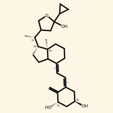 C=C1/C(=C\C=C2/CCC[C@@]3(C)C2CC[C@@H]3[C@H](C)C2COC(O)(C3CC3)C2)C[C@@H](O)C[C@@H]1O